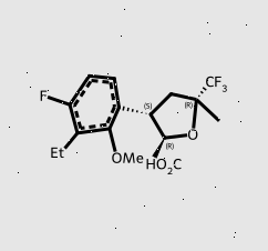 CCc1c(F)ccc([C@@H]2C[C@](C)(C(F)(F)F)O[C@H]2C(=O)O)c1OC